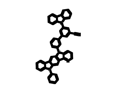 N#Cc1cc(-c2cccc(-n3c4cc5c6ccccc6n(-c6ccccc6)c5cc4c4ncccc43)c2)cc(-n2c3ccccc3c3ccccc32)c1